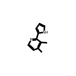 Cc1ccnc(-c2ccc[nH]2)c1C